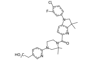 CC1(C)CN(c2ccc(Cl)c(F)c2)c2ccc(C(=O)N3CCN(c4ccc(CC(=O)O)cn4)CC3(C)C)nc21